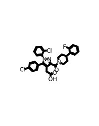 O=C(O)Cc1c(C(=O)N2CCC(c3ccccc3F)CC2)nn(-c2ccccc2Cl)c1-c1ccc(Cl)cc1